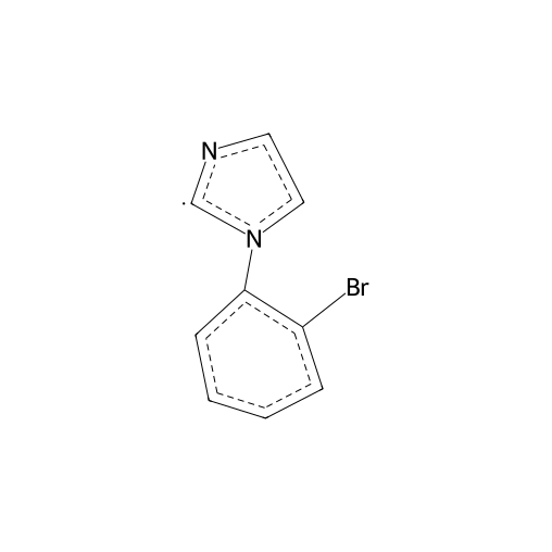 Brc1ccccc1-n1[c]ncc1